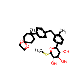 CS[C@H]1OC(c2ccc(C)c(Cc3ccc(C4(C)CCC5(CC4)OCCO5)cc3)c2)[C@H](O)[C@@H](O)[C@@H]1O